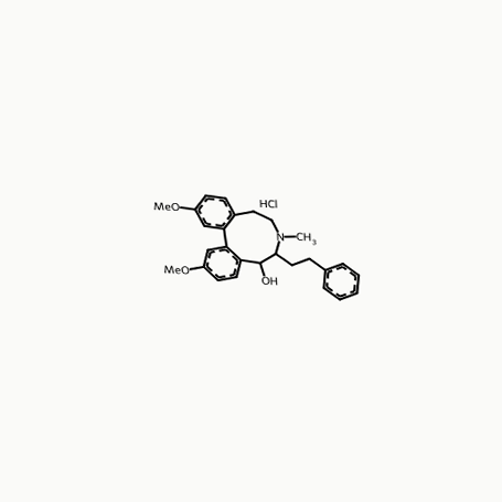 COc1ccc2c(c1)-c1cc(OC)ccc1C(O)C(CCc1ccccc1)N(C)CC2.Cl